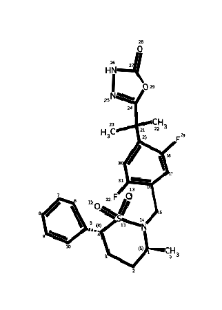 C[C@H]1CC[C@H](c2ccccc2)S(=O)(=O)N1Cc1cc(F)c(C(C)(C)c2n[nH]c(=O)o2)cc1F